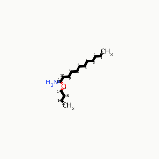 CCCCCCCCCCCC(N)OCCCC